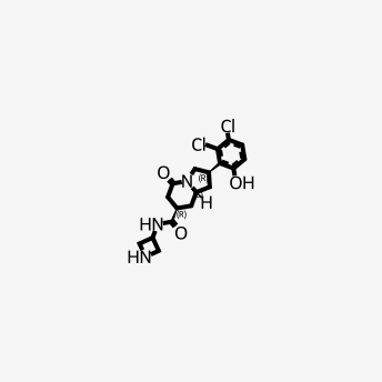 O=C(NC1CNC1)[C@H]1CC(=O)N2C[C@@H](c3c(O)ccc(Cl)c3Cl)C[C@H]2C1